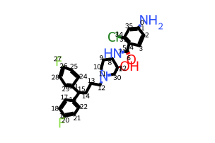 Nc1ccc(C(=O)N[C@H]2CCN(CCCC(c3ccc(F)cc3)c3ccc(F)cc3)C[C@@H]2O)c(Cl)c1